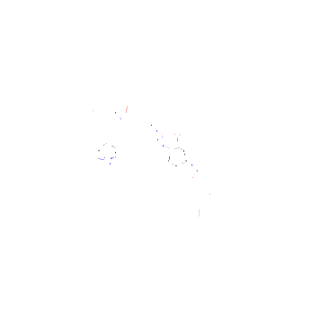 Cc1c(NC(=O)OC(C)(C)C)ccc2nc(NCC(C)CC(=O)N(C)CCc3ccncc3)oc(=O)c12